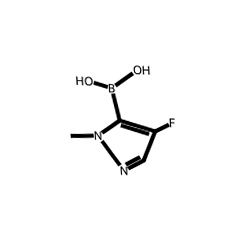 Cn1ncc(F)c1B(O)O